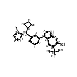 Cn1cnnc1[C@@H](c1cccc(-c2n[nH]c3nc(Cl)c(C(F)(F)F)cc23)c1)C1CCC1